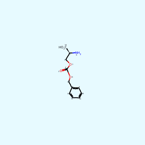 N[C@@H](COC(=O)OCc1ccccc1)C(=O)O